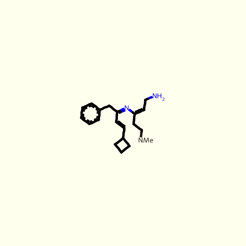 CNCCC(=C/CN)/N=C(\C=C\C1CCC1)Cc1ccccc1